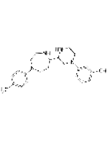 Cc1ccc(N2CCNC(C3CN(c4cccc(C)c4)CCN3)CC2)cc1